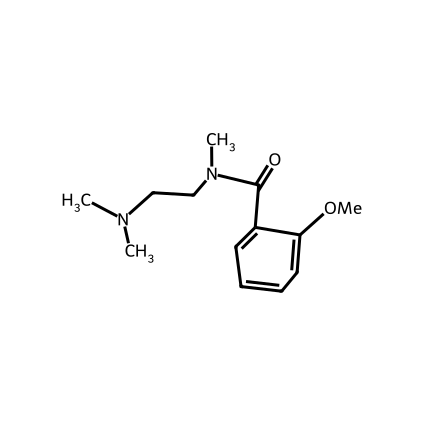 COc1ccccc1C(=O)N(C)CCN(C)C